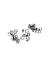 COC(=O)N[C@H](C(=O)N1CCC[C@H]1c1nc(-c2cc(F)c3c(c2)OC(c2ccc(C)s2)n2c-3cc3cc(-c4cnc([C@@H]5CCCN5C(=O)[C@@H](NC(=O)OC)C5CCOCC5)[nH]4)ccc32)c[nH]1)C(C)C